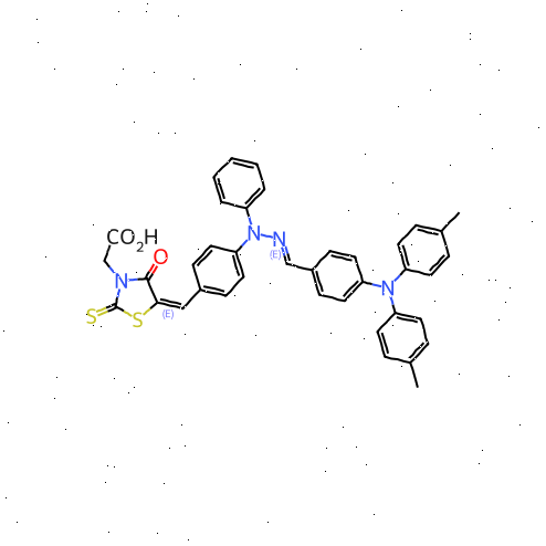 Cc1ccc(N(c2ccc(C)cc2)c2ccc(/C=N/N(c3ccccc3)c3ccc(/C=C4/SC(=S)N(CC(=O)O)C4=O)cc3)cc2)cc1